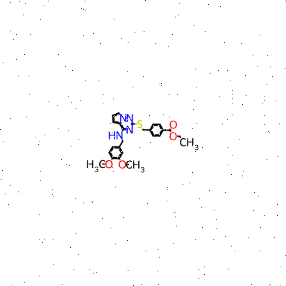 CCOC(=O)c1ccc(CSc2nc(NCc3ccc(OC)c(OC)c3)c3cccn3n2)cc1